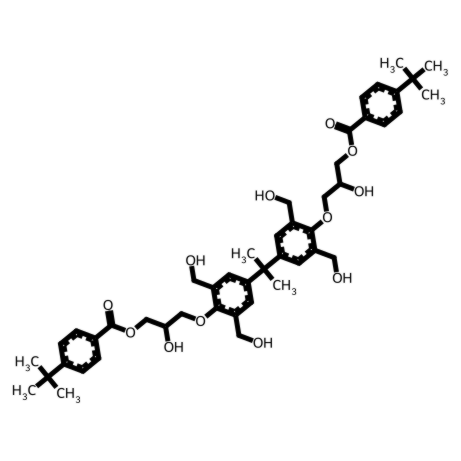 CC(C)(C)c1ccc(C(=O)OCC(O)COc2c(CO)cc(C(C)(C)c3cc(CO)c(OCC(O)COC(=O)c4ccc(C(C)(C)C)cc4)c(CO)c3)cc2CO)cc1